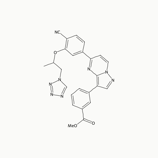 COC(=O)c1cccc(-c2cnn3ccc(-c4ccc(C#N)c(OC(C)Cn5cnnn5)c4)nc23)c1